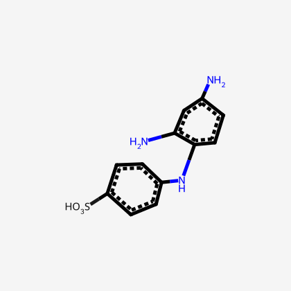 Nc1ccc(Nc2ccc(S(=O)(=O)O)cc2)c(N)c1